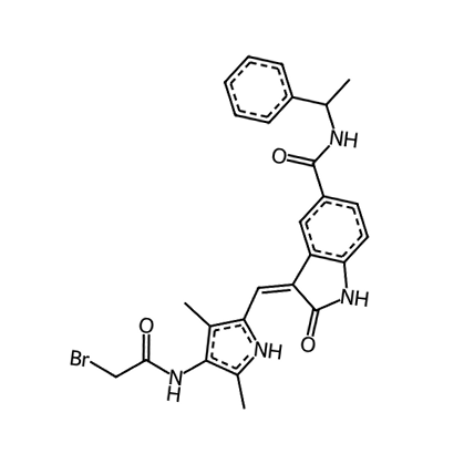 Cc1[nH]c(C=C2C(=O)Nc3ccc(C(=O)NC(C)c4ccccc4)cc32)c(C)c1NC(=O)CBr